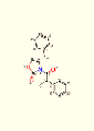 CC(C(=O)N1C(=O)OC[C@@H]1Cc1ccccc1)c1ccccc1